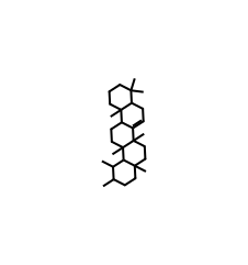 CC1CCC2(C)CCC3(C)C4=CCC5C(C)(C)CCCC5(C)C4CCC3(C)C2C1C